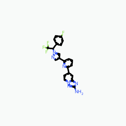 Nc1nc2cc(-c3cccc(-c4cnn(C(c5ccc(F)cc5)C(F)(F)F)c4)n3)ccn2n1